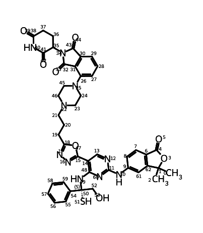 CC1(C)OC(=O)c2ccc(Nc3ncc(-c4nnc(CCCN5CCN(c6cccc7c6C(=O)N(C6CCC(=O)NC6=O)C7=O)CC5)o4)c(N[C@@](S)(CO)c4ccccc4)n3)cc21